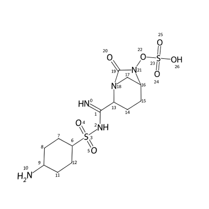 N=C(NS(=O)(=O)C1CCC(N)CC1)C1CCC2CN1C(=O)N2OS(=O)(=O)O